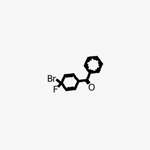 O=C(c1ccccc1)C1C=CC(F)(Br)C=C1